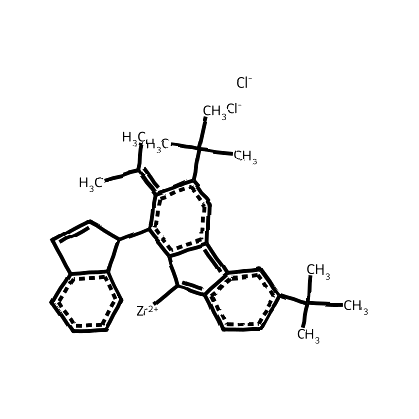 CC(C)=c1c(C(C)(C)C)cc2c(c1C1C=Cc3ccccc31)[C]([Zr+2])=c1ccc(C(C)(C)C)cc1=2.[Cl-].[Cl-]